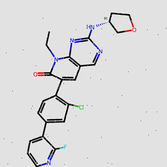 CCn1c(=O)c(-c2ccc(-c3cccnc3F)cc2Cl)cc2cnc(N[C@@H]3CCOC3)nc21